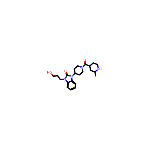 CC1CC(C(=O)N2CCC(n3c(=O)n(CCCO)c4ccccc43)CC2)CCN1